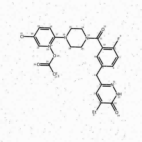 CCc1cc(Cc2ccc(F)c(C(=O)N3CCN(c4ccc(Cl)c[n+]4OC(=O)C(F)(F)F)CC3)c2)n[nH]c1=O